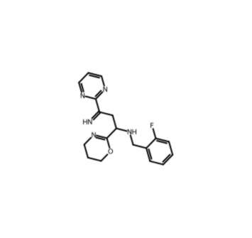 N=C(CC(NCc1ccccc1F)C1=NCCCO1)c1ncccn1